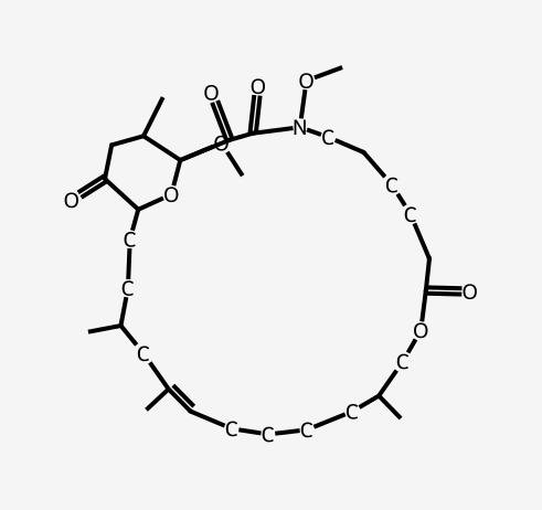 CON1CCCCCC(=O)OCC(C)CCCCC=C(C)CC(C)CCC2OC(OC)(C(=O)C1=O)C(C)CC2=O